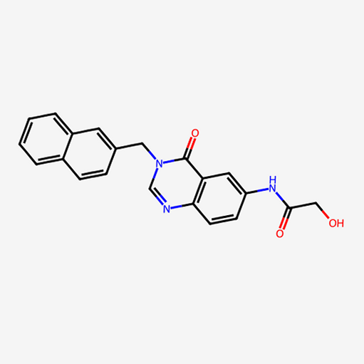 O=C(CO)Nc1ccc2ncn(Cc3ccc4ccccc4c3)c(=O)c2c1